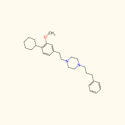 COc1cc(CCN2CCN(CCCc3ccccc3)CC2)ccc1C1CCCCC1